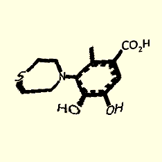 Cc1c(C(=O)O)cc(O)c(O)c1N1CCSCC1